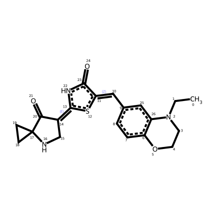 CCN1CCOc2ccc(/C=c3\s/c(=C4\CNC5(CC5)C4=O)[nH]c3=O)cc21